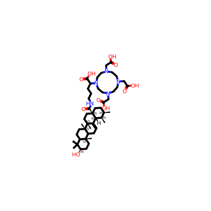 C[C@@H]1[C@H](C)CC[C@@]2(C(=O)NCCCC(C(=O)O)N3CCN(CC(=O)O)CCN(CC(=O)O)CCN(CC(=O)O)CC3)CC[C@]3(C)C(=CCC4[C@]5(C)CC[C@@H](O)C(C)(C)C5CC[C@@]43C)[C@@H]12